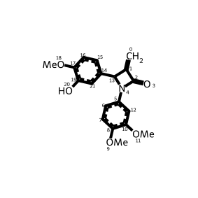 C=C1C(=O)N(c2ccc(OC)c(OC)c2)C1c1ccc(OC)c(O)c1